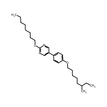 CCCCCCCCOc1ncc(-c2ccc(OCCCCCC(C)CC)cc2)cn1